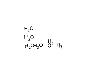 O.O.O.O.O.[Th]